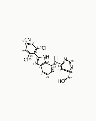 N#Cc1cc(Cl)c(-c2nc3ccnc(Nc4cc(CO)ncn4)c3[nH]2)c(Cl)c1